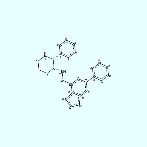 c1ccc([C@H]2NCCC[C@H]2NCc2cc(-c3cccnc3)cc3ccoc23)cc1